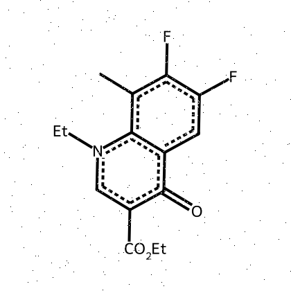 CCOC(=O)c1cn(CC)c2c(C)c(F)c(F)cc2c1=O